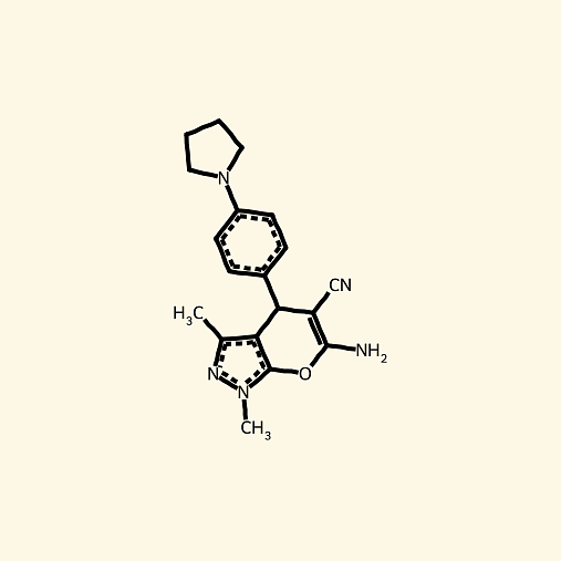 Cc1nn(C)c2c1C(c1ccc(N3CCCC3)cc1)C(C#N)=C(N)O2